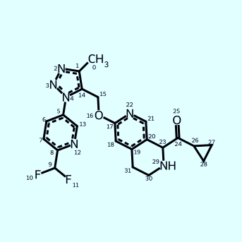 Cc1nnn(-c2ccc(C(F)F)nc2)c1COc1cc2c(cn1)C(C(=O)C1CC1)NCC2